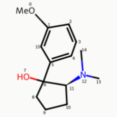 COc1cccc(C2(O)CCC[C@@H]2N(C)C)c1